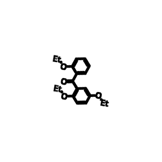 CCOc1ccc(OCC)c(C(=O)c2ccccc2OCC)c1